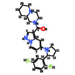 O=C(c1cnn2ccc(N3CCCC3c3cc(F)ccc3F)cc12)N1CCN2CCCCC2C1